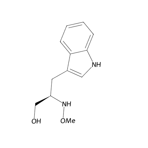 CON[C@@H](CO)Cc1c[nH]c2ccccc12